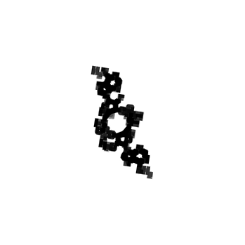 BP1(=O)NC[C@H]2O[C@@H](n3cnc4c(N)ncnc43)C(F)C2OP(=O)(S)NC[C@H]2O[C@@H](n3cnc4c(N)ncnc43)C(O)C2O1